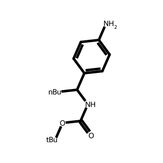 CCCCC(NC(=O)OC(C)(C)C)c1ccc(N)cc1